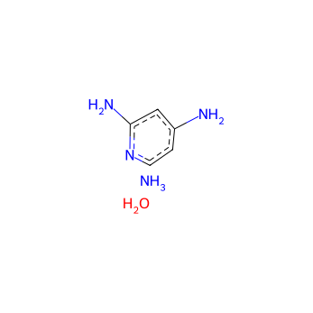 N.Nc1ccnc(N)c1.O